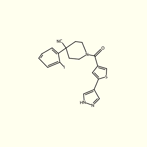 N#CC1(c2ccccc2I)CCN(C(=O)c2csc(-c3cn[nH]c3)c2)CC1